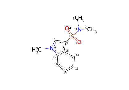 CN(C)S(=O)(=O)c1cn(C)c2ccccc12